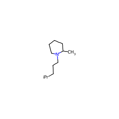 CC(C)CCCN1CCCCC1C